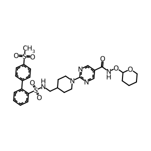 CS(=O)(=O)c1ccc(-c2ccccc2S(=O)(=O)NCC2CCN(c3ncc(C(=O)NOC4CCCCO4)cn3)CC2)cc1